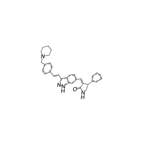 O=C1NCC(c2ccccc2)C1=Cc1ccc2c(/C=C/c3ccc(CN4CCCCC4)cc3)n[nH]c2c1